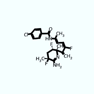 C=C(/C(F)=C\C=C(/C)NC(=O)c1ccc(Cl)cc1)[C@@]1(C)N=C(N)[C@](C)(F)C[C@@H]1F